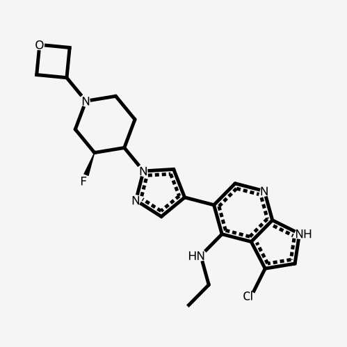 CCNc1c(-c2cnn(C3CCN(C4COC4)C[C@@H]3F)c2)cnc2[nH]cc(Cl)c12